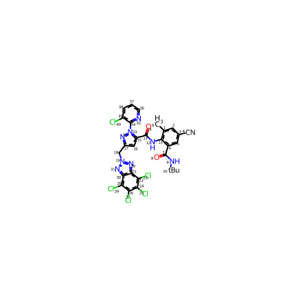 Cc1cc(C#N)cc(C(=O)NC(C)(C)C)c1NC(=O)c1cc(Cn2nc3c(Cl)c(Cl)c(Cl)c(Cl)c3n2)nn1-c1ncccc1Cl